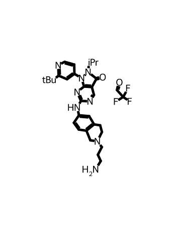 CC(C)n1c(=O)c2cnc(Nc3ccc4c(c3)CCN(CCCN)C4)nc2n1-c1ccnc(C(C)(C)C)c1.O=CC(F)(F)F